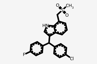 CS(=O)(=O)Cc1cccc2c(C(c3ccc(F)cc3)c3ccc(Cl)cc3)c[nH]c12